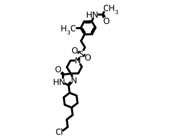 CC(=O)Nc1ccc(CCS(=O)(=O)N2CCC3(CC2)N=C(C2CCC(CCCCl)CC2)NC3=O)c(C)c1